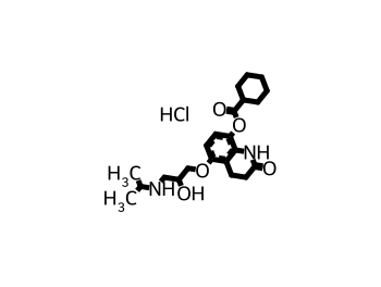 CC(C)NCC(O)COc1ccc(OC(=O)C2CCCCC2)c2c1CCC(=O)N2.Cl